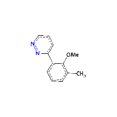 COc1c(C)cccc1-c1cccnn1